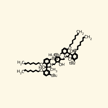 C=CCCCCCOc1ccc(C(C)(C)C)cc1C(O)(c1cc(C(C)(C)C)ccc1OCCCCCC=C)[C@@H](C)N=Cc1cc(C)cc(C=N[C@H](C)C(O)(c2cc(C(C)(C)C)ccc2OCCCCCC=C)c2cc(C(C)(C)C)ccc2OCCCCCC=C)c1O